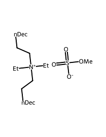 CCCCCCCCCCCC[N+](CC)(CC)CCCCCCCCCCCC.COS(=O)(=O)[O-]